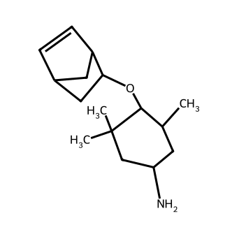 CC1CC(N)CC(C)(C)C1OC1CC2C=CC1C2